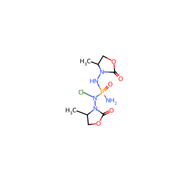 CC1COC(=O)N1NP(N)(=O)N(Cl)N1C(=O)OCC1C